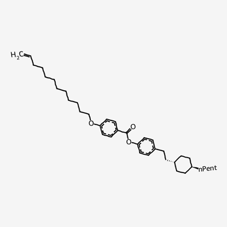 C=CCCCCCCCCCCOc1ccc(C(=O)Oc2ccc(CC[C@H]3CC[C@H](CCCCC)CC3)cc2)cc1